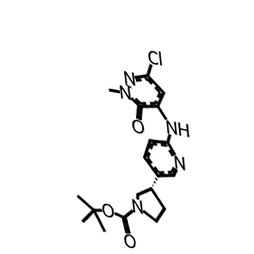 Cn1nc(Cl)cc(Nc2ccc([C@@H]3CCN(C(=O)OC(C)(C)C)C3)cn2)c1=O